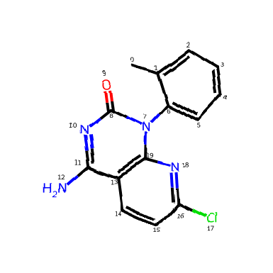 Cc1ccccc1-n1c(=O)nc(N)c2ccc(Cl)nc21